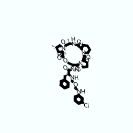 C[C@H]1C[C@H]2C(=O)OC[C@H](NC(=O)[C@H](Cc3ccccc3)NCOCNc3cccc(Cl)c3)C(=O)N3CCC[C@H]3C(=O)N3CCCC[C@H]3C(=O)N[C@@H](C)C(=O)N2C1